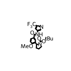 COc1ccc(C(=O)Nc2cncc(C(F)(F)F)c2)cc1C1CCCN1C(=O)OC(C)(C)C